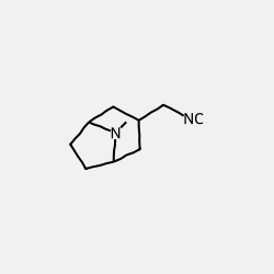 [C-]#[N+]CC1CC2CCC(C1)N2C